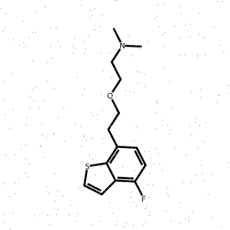 CN(C)CCOCCc1ccc(F)c2ccsc12